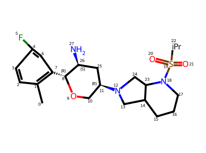 Cc1ccc(F)cc1[C@H]1OC[C@H](N2CC3CCCN(S(=O)(=O)C(C)C)C3C2)C[C@@H]1N